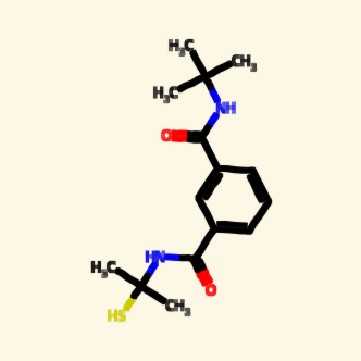 CC(C)(C)NC(=O)c1cccc(C(=O)NC(C)(C)S)c1